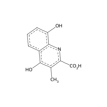 Cc1c(C(=O)O)nc2c(O)cccc2c1O